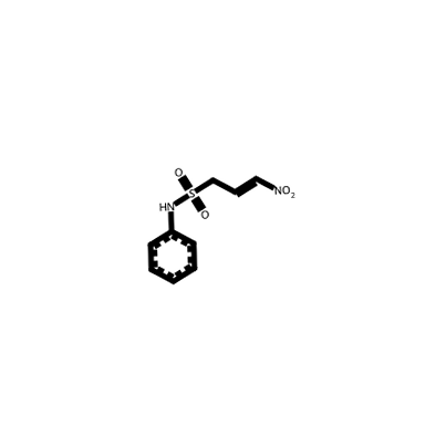 O=[N+]([O-])C=CCS(=O)(=O)Nc1ccccc1